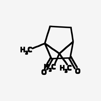 CC12CCC(C(=O)C1=O)C2(C)C